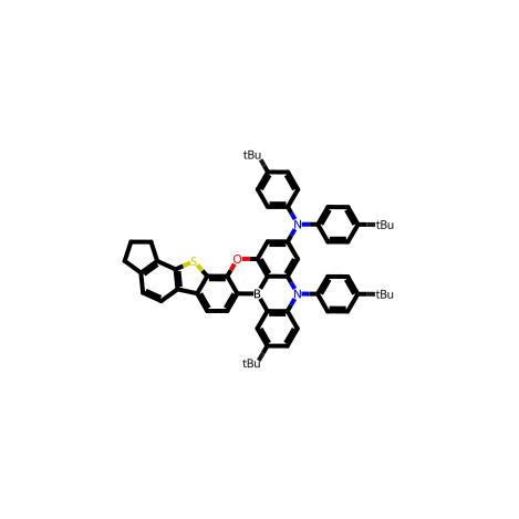 CC(C)(C)c1ccc(N(c2ccc(C(C)(C)C)cc2)c2cc3c4c(c2)N(c2ccc(C(C)(C)C)cc2)c2ccc(C(C)(C)C)cc2B4c2ccc4c(sc5c6c(ccc54)CCC6)c2O3)cc1